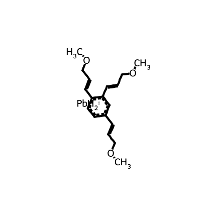 COC/C=C/c1ccc(/C=C/COC)c(/C=C/COC)c1.[PbH2]